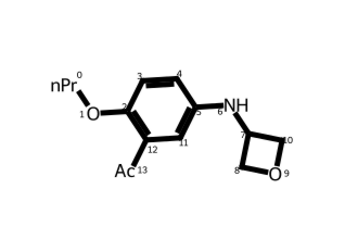 CCCOc1ccc(NC2COC2)cc1C(C)=O